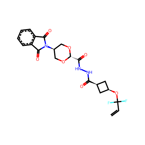 C=CC(F)(F)O[C@H]1C[C@@H](C(=O)NNC(=O)[C@H]2OC[C@H](N3C(=O)c4ccccc4C3=O)CO2)C1